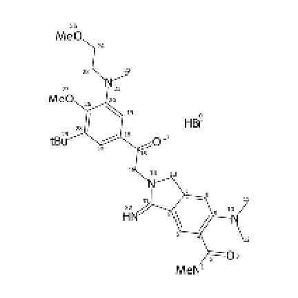 Br.CNC(=O)c1cc2c(cc1N(C)C)CN(CC(=O)c1cc(N(C)CCOC)c(OC)c(C(C)(C)C)c1)C2=N